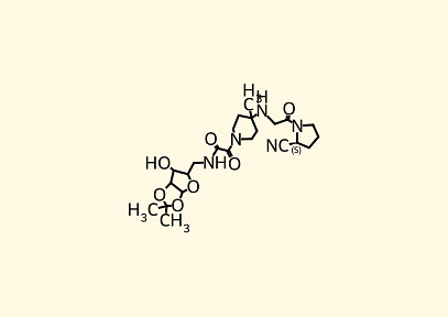 CC1(NCC(=O)N2CCC[C@H]2C#N)CCN(C(=O)C(=O)NCC2OC3OC(C)(C)OC3C2O)CC1